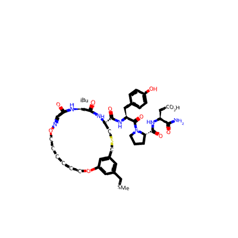 CC[C@H](C)[C@@H]1NC(=O)/C=N/OCCCCCCOc2cc(CSC)cc(c2)CSC[C@@H](C(=O)N[C@@H](Cc2ccc(O)cc2)C(=O)N2CCC[C@H]2C(=O)N[C@@H](CC(=O)O)C(N)=O)NC1=O